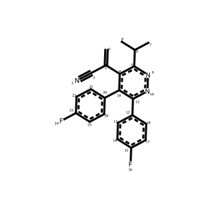 C=C(C#N)c1c(C(C)C)nnc(-c2ccc(F)cc2)c1-c1ccc(F)cc1